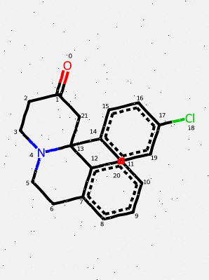 O=C1CCN2CCc3ccccc3C2(c2ccc(Cl)cc2)C1